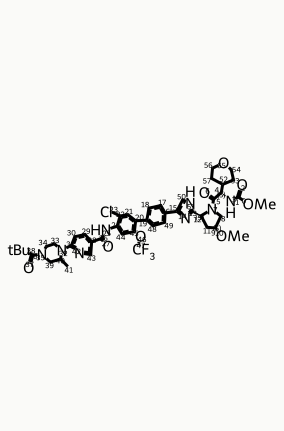 COC(=O)N[C@H](C(=O)N1C[C@@H](OC)C[C@H]1c1nc(-c2ccc(-c3cc(Cl)c(NC(=O)c4ccc(N5CCN(C(=O)C(C)(C)C)CC5C)nc4)cc3OC(F)(F)F)cc2)c[nH]1)C1CCOCC1